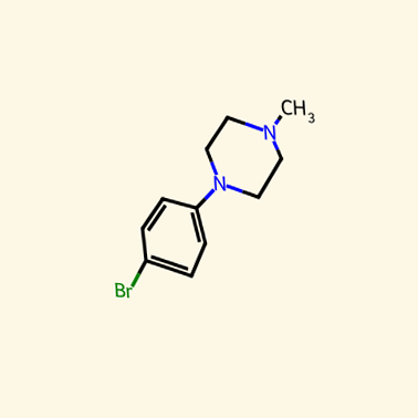 CN1CCN(c2ccc(Br)cc2)CC1